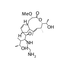 CO[C@H]1C[C@H]2C=C[C@@H]3C[C@]2(O[C@H]3[C@@H](NCCN)C(C)[C@H](C)O)/C(C)=C/[C@@H](C)[C@@H]([C@@H](C)O)OC1=O